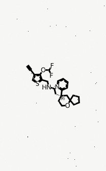 C#Cc1csc(CNCC[C@@]2(c3ccccn3)CCOC3(CCCC3)C2)c1OC(F)F